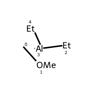 COC.C[CH2][Al][CH2]C